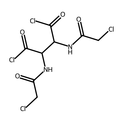 O=C(CCl)NC(C(=O)Cl)C(NC(=O)CCl)C(=O)Cl